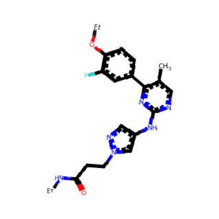 CCNC(=O)CCn1cc(Nc2ncc(C)c(-c3ccc(OCC)c(F)c3)n2)cn1